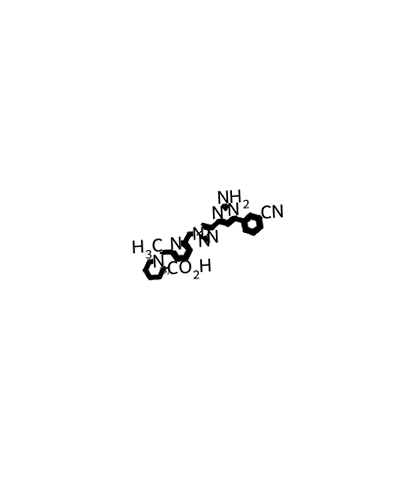 CC(c1cccc(Cn2cc(-c3cc(-c4cccc(C#N)c4)nc(N)n3)nn2)n1)N1CCCC[C@H]1C(=O)O